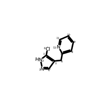 Clc1[nH]n[c]c1Cc1ccccn1